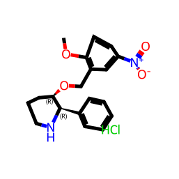 COc1ccc([N+](=O)[O-])cc1CO[C@@H]1CCCN[C@@H]1c1ccccc1.Cl